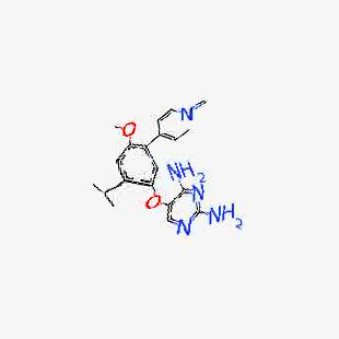 C=N/C=C\C(=C/C)c1cc(Oc2cnc(N)nc2N)c(C(C)C)cc1OC